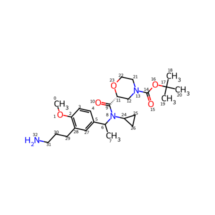 COc1ccc(C(C)N(C(=O)[C@H]2CN(C(=O)OC(C)(C)C)CCO2)C2CC2)cc1CCCN